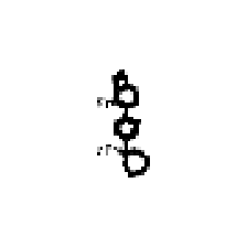 CCCC1(c2ccc(C3=C(CC)C4=C(C#C4)[CH]C3)cc2)CCCCC1